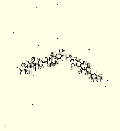 COc1cc2c(cc1OCCCOc1cc3c(cc1OC)C(=O)N1C=C(c4ccc5c(c4)OCO5)C[C@H]1C=N3)N=C[C@@H]1CC(c3ccc(NC(=O)C(C)NC(=O)C(N)C(C)C)cc3)=CN1C2=O